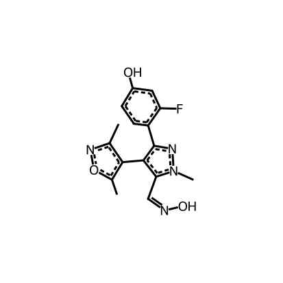 Cc1noc(C)c1-c1c(-c2ccc(O)cc2F)nn(C)c1/C=N\O